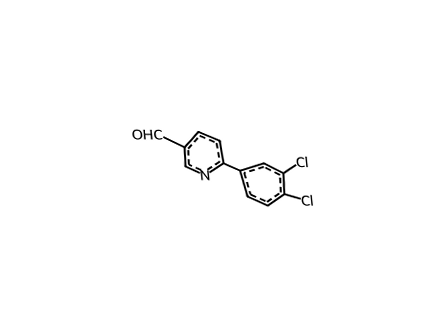 O=Cc1ccc(-c2ccc(Cl)c(Cl)c2)nc1